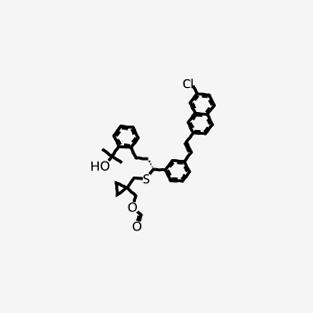 CC(C)(O)c1ccccc1CC[C@@H](SCC1(COC=O)CC1)c1cccc(/C=C/c2ccc3ccc(Cl)cc3c2)c1